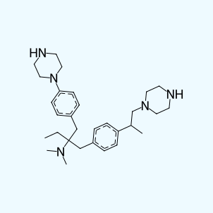 CCC(Cc1ccc(C(C)CN2CCNCC2)cc1)(Cc1ccc(N2CCNCC2)cc1)N(C)C